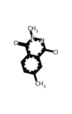 Cc1ccc2c(=O)n(C)nc(Cl)c2c1